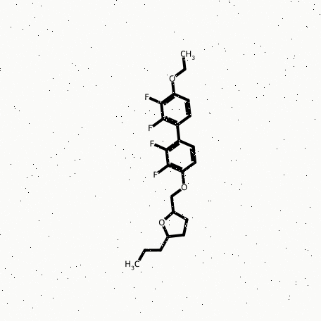 CCCC1CCC(COc2ccc(-c3ccc(OCC)c(F)c3F)c(F)c2F)O1